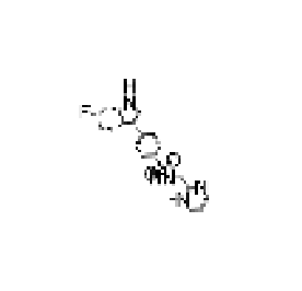 CC1=C=CN(C)C(CNS(=O)(=O)c2ccc(-c3c[nH]c4cc(F)ccc34)cc2)=N1